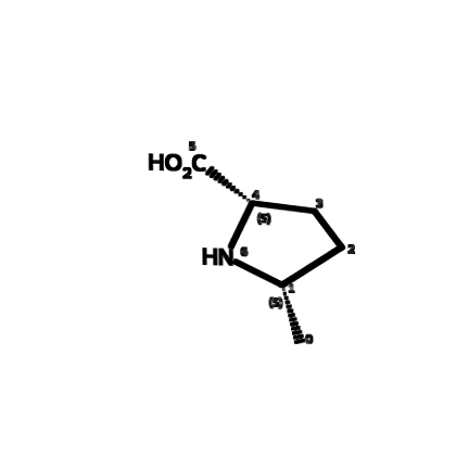 C[C@H]1CC[C@@H](C(=O)O)N1